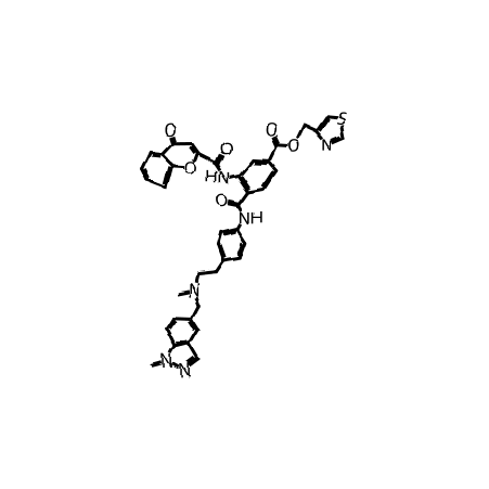 CN(CCc1ccc(NC(=O)c2ccc(C(=O)OCc3cscn3)cc2NC(=O)c2cc(=O)c3ccccc3o2)cc1)Cc1ccc2c(cnn2C)c1